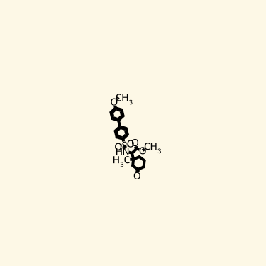 COC(=O)C(NS(=O)(=O)c1ccc(-c2ccc(OC)cc2)cc1)C1(C)CCCC(=O)C1